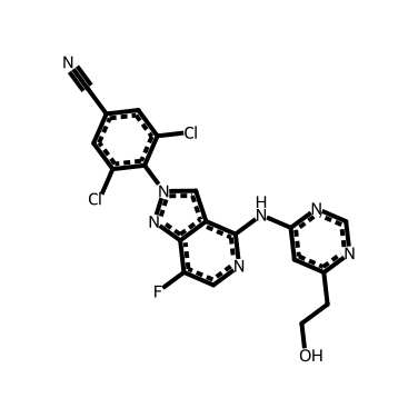 N#Cc1cc(Cl)c(-n2cc3c(Nc4cc(CCO)ncn4)ncc(F)c3n2)c(Cl)c1